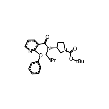 CC(C)CN(C(=O)c1cccnc1Oc1ccccc1)[C@H]1CCN(C(=O)OC(C)(C)C)C1